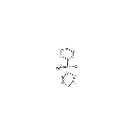 O=P(Cl)(c1ccccc1)c1ccccc1.[Pd]